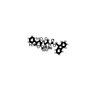 CC(C)(C)OC(=O)C(Cc1c[nH]c2ccccc12)N=C(OC(C)(C)C)C(CC(=O)O)NC(=O)OCC1c2ccccc2-c2ccccc21